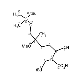 COC(C)(CCC(C#N)N(CC(C)(C)C)C(=O)O)CO[Si](C)(C)C(C)(C)C